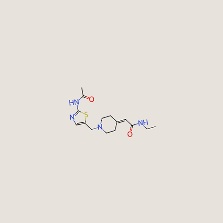 CCNC(=O)C=C1CCN(Cc2cnc(NC(C)=O)s2)CC1